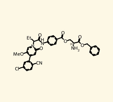 CCC(C(=O)Nc1ccc(C(=O)OC[C@H](N)C(=O)OCc2ccccc2)cc1)n1cc(OC)c(-c2cc(Cl)ccc2C#N)cc1=O